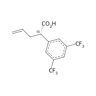 C=CC[C@H](C(=O)O)c1cc(C(F)(F)F)cc(C(F)(F)F)c1